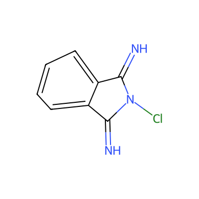 N=C1c2ccccc2C(=N)N1Cl